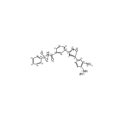 CC(C)Nc1ccc(-c2nc(-c3cccc(C(=O)NS(=O)(=O)c4ccccc4)c3)no2)cc1[N+](=O)[O-]